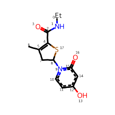 CCNC(=O)C1=C(C)CC(n2ccc(O)cc2=O)S1